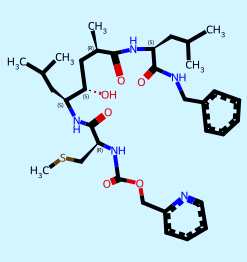 CSC[C@H](NC(=O)OCc1ccccn1)C(=O)N[C@@H](CC(C)C)[C@@H](O)C[C@@H](C)C(=O)N[C@@H](CC(C)C)C(=O)NCc1ccccc1